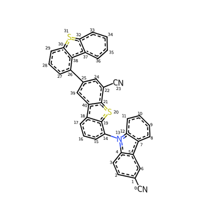 N#Cc1ccc2c(c1)c1ccccc1n2-c1cccc2c1sc1c(C#N)cc(-c3cccc4sc5ccccc5c34)cc12